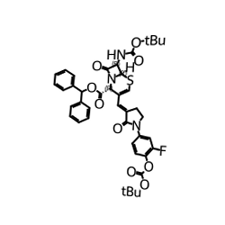 CC(C)(C)OC(=O)N[C@@H]1C(=O)N2[C@@H](C(=O)OC(c3ccccc3)c3ccccc3)C(C=C3CCN(c4ccc(OC(=O)OC(C)(C)C)c(F)c4)C3=O)=CS[C@H]12